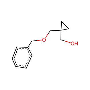 OCC1(COCc2ccccc2)CC1